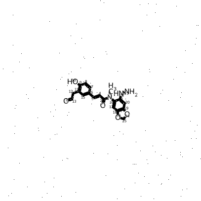 CN(C(=O)/C=C/c1ccc(O)c(CC=O)c1)c1cc2c(cc1NN)OCO2